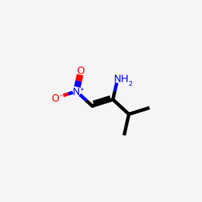 CC(C)/C(N)=C/[N+](=O)[O-]